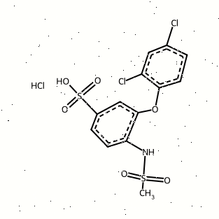 CS(=O)(=O)Nc1ccc(S(=O)(=O)O)cc1Oc1ccc(Cl)cc1Cl.Cl